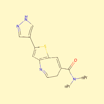 CCCN(CCC)C(=O)C1=Cc2sc(-c3cn[nH]c3)cc2N=CC1